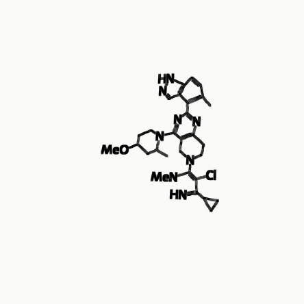 CN/C(=C(/Cl)C(=N)C1CC1)N1CCc2nc(-c3c(C)ccc4[nH]ncc34)nc(N3CCC(OC)CC3C)c2C1